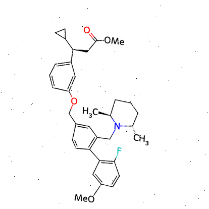 COC(=O)C[C@@H](c1cccc(OCc2ccc(-c3cc(OC)ccc3F)c(CN3[C@@H](C)CCC[C@@H]3C)c2)c1)C1CC1